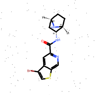 O=C(N[C@@H]1C[C@H]2CC[C@@H]1N2)c1cc2c(Br)csc2cn1